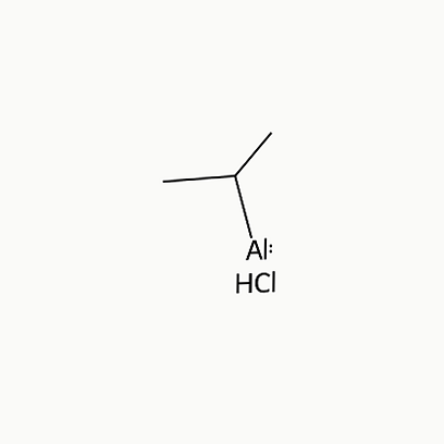 C[CH](C)[Al].Cl